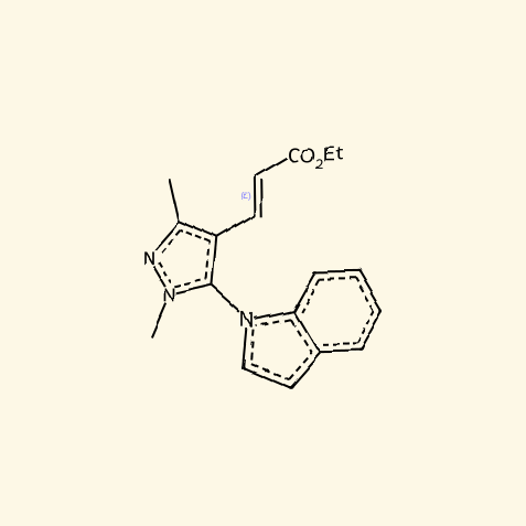 CCOC(=O)/C=C/c1c(C)nn(C)c1-n1ccc2ccccc21